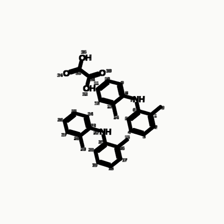 Cc1ccccc1Nc1ccccc1C.Cc1ccccc1Nc1ccccc1C.O=C(O)C(=O)O